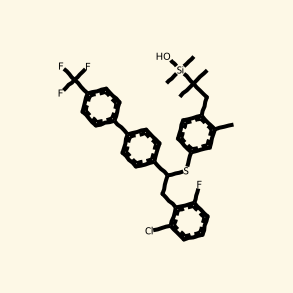 Cc1cc(SC(Cc2c(F)cccc2Cl)c2ccc(-c3ccc(C(F)(F)F)cc3)cc2)ccc1CC(C)(C)[Si](C)(C)O